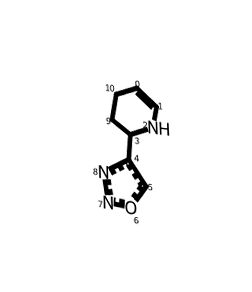 C1=CNC(c2conn2)CC1